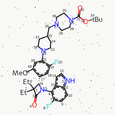 CCC1(CC)C(=O)N(c2c(F)ccc3[nH]ccc23)[C@H]1c1cc(F)c(N2CCC(CN3CCN(C(=O)OC(C)(C)C)CC3)CC2)cc1OC